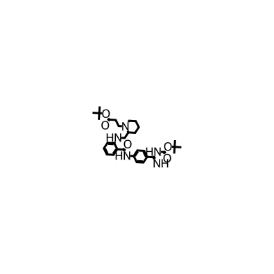 CC(C)(C)OC(=O)CCN1CCCCC1CNc1ccccc1C(=O)Nc1ccc(C(=N)NC(=O)OC(C)(C)C)cc1